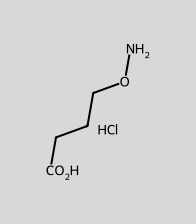 Cl.NOCCCC(=O)O